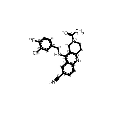 CC(=O)N1CCc2nc3ccc(C#N)cc3c(NCc3ccc(F)c(Cl)c3)c2C1